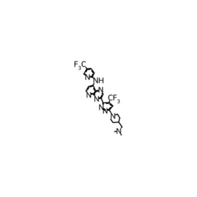 CN(C)CC1CCN(c2cc(C(F)(F)F)c(-c3cnc4c(Nc5ccc(C(F)(F)F)cn5)ccnc4n3)nn2)CC1